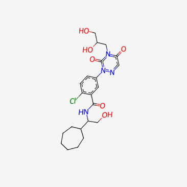 O=C(NC(CO)C1CCCCCC1)c1cc(-n2ncc(=O)n(CC(O)CO)c2=O)ccc1Cl